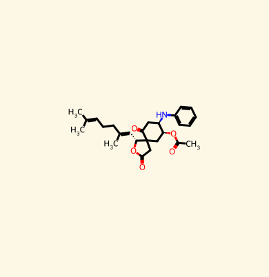 CC(=O)O[C@H]1CC2(CC(=O)O[C@@H]2/C=C(\C)CCC=C(C)C)C(=O)C[C@H]1Nc1ccccc1